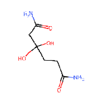 NC(=O)CCC(O)(O)CC(N)=O